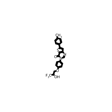 Cc1ccc(-c2cc3ncn(-c4ccc(OCC(O)C(F)(F)F)cc4)c(=O)c3s2)cc1